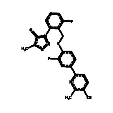 Cc1nc(-c2ccc(SCc3c(F)cccc3-n3nnn(C)c3=O)c(F)c2)ccc1C#N